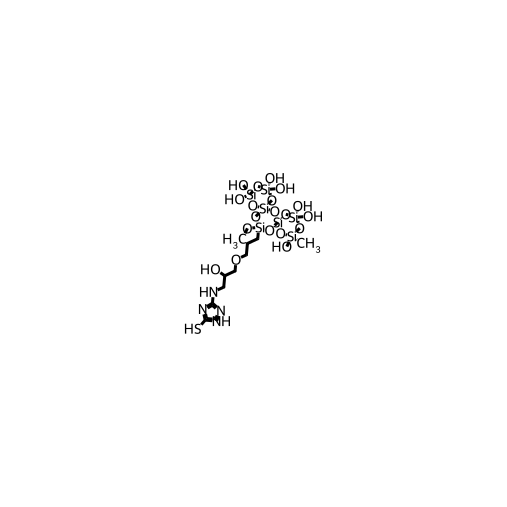 CO[Si]1(CCCOCC(O)CNc2n[nH]c(S)n2)O[Si]2(O[Si](C)(O)O[Si](O)(O)O2)O[Si]2(O[Si](O)(O)O[Si](O)(O)O2)O1